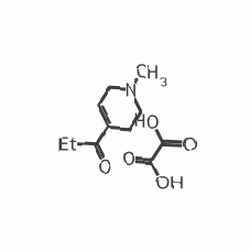 CCC(=O)C1=CCN(C)CC1.O=C(O)C(=O)O